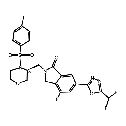 Cc1ccc(S(=O)(=O)N2CCOC[C@@H]2CN2Cc3c(F)cc(-c4nnc(C(F)F)o4)cc3C2=O)cc1